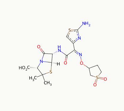 CC1(C)S[C@@H]2[C@@H](NC(=O)/C(=N\OC3CCS(=O)(=O)C3)c3csc(N)n3)C(=O)N2[C@H]1C(=O)O